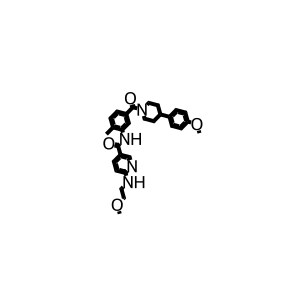 COCCNc1ccc(C(=O)Nc2cc(C(=O)N3CCC(c4ccc(OC)cc4)CC3)ccc2C)cn1